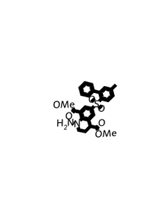 COC(=O)c1cc(S(=O)(=O)c2ccc(C)cc2-c2ccccc2)cc2c1N(N)CCC2C(=O)OC